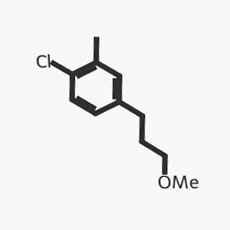 COCCCc1ccc(Cl)c(C)c1